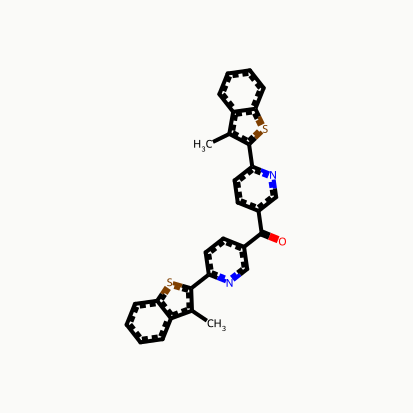 Cc1c(-c2ccc(C(=O)c3ccc(-c4sc5ccccc5c4C)nc3)cn2)sc2ccccc12